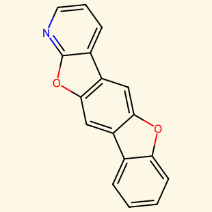 c1ccc2c(c1)oc1cc3c(cc12)oc1ncccc13